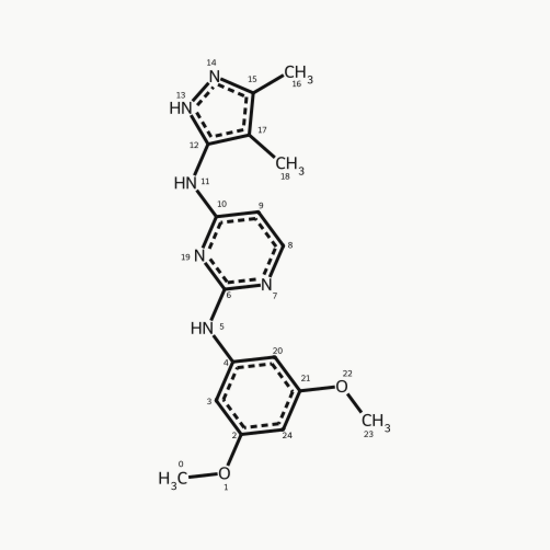 COc1cc(Nc2nccc(Nc3[nH]nc(C)c3C)n2)cc(OC)c1